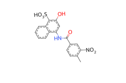 Cc1ccc(C(=O)Nc2cc(O)c(S(=O)(=O)O)c3ccccc23)cc1[N+](=O)[O-]